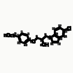 CCCCCCCCc1ccc(OCC(O)Cn2ccc3cc(Cl)ccc32)cc1